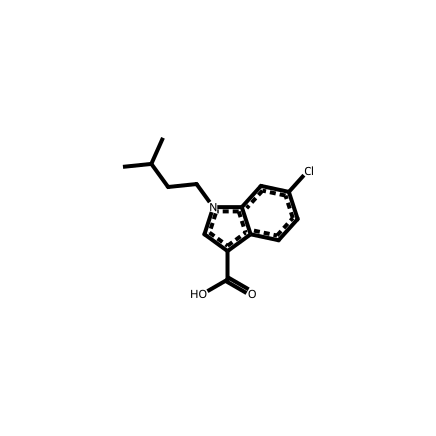 CC(C)CCn1cc(C(=O)O)c2ccc(Cl)cc21